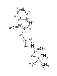 CC(C)(C)OC(=O)N1CC(Cn2cnc3ccccc3c2=O)C1